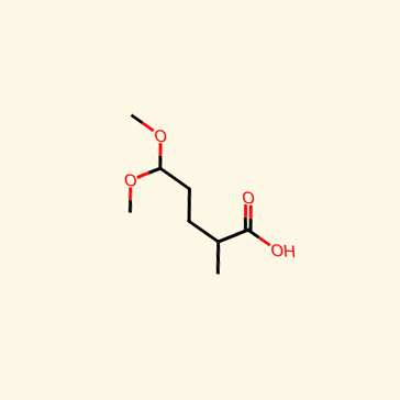 COC(CCC(C)C(=O)O)OC